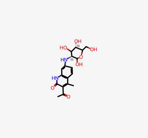 CC(=O)c1c(C)c2ccc(N[C@@H]3C(O)OC(CO)[C@@H](O)C3O)cc2[nH]c1=O